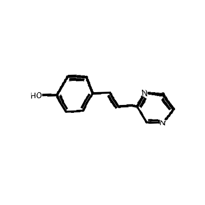 Oc1ccc(C=Cc2cnccn2)cc1